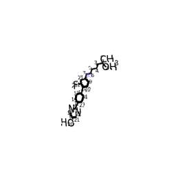 CC(O)CCC/C=C/c1ccc(-c2ccc(-c3ncc(O)cn3)cc2)c(F)c1